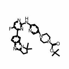 CC(C)(C)OC(=O)N1CCN(c2ccc(Nc3ncc(F)c(-c4ccc5nc6n(c5c4)C(C)(C)CC6)n3)nc2)CC1